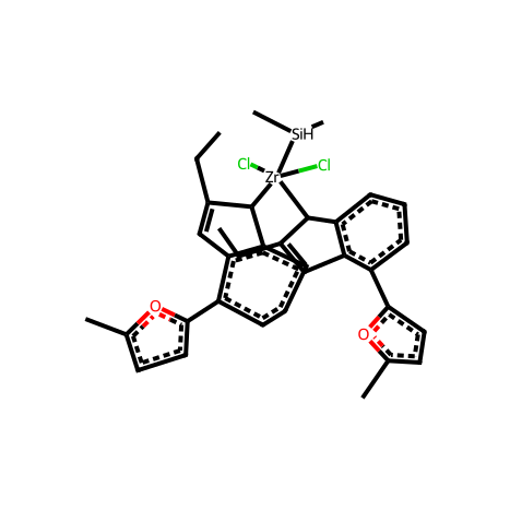 CCC1=Cc2c(-c3ccc(C)o3)cccc2[CH]1[Zr]([Cl])([Cl])([CH]1C(CC)=Cc2c(-c3ccc(C)o3)cccc21)[SiH](C)C